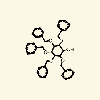 O[C@H]1C(OCc2ccccc2)C(OCc2ccccc2)[C@@H](OCc2ccccc2)C(OCc2ccccc2)C1OCc1ccccc1